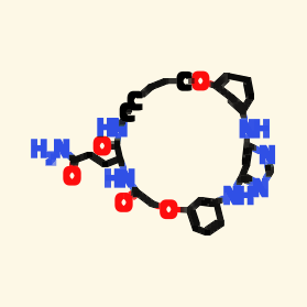 NC(=O)CCC1NC(=O)COc2cccc(c2)Nc2cc(ncn2)Nc2cccc(c2)OCCCCCNC1=O